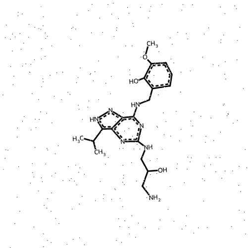 COc1cccc(CNc2nc(NCC(O)CN)nc3c(C(C)C)[nH]nc23)c1O